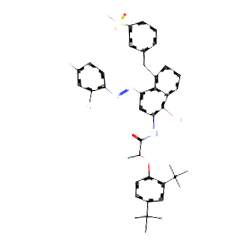 [C-]#[N+]c1cc([N+](=O)[O-])ccc1N=Nc1cc(NC(=O)C(CC)Oc2ccc(C(C)(C)CC)cc2C(C)(C)CC)c(O)c2cccc(Cc3cccc(S(N)(=O)=O)c3)c12